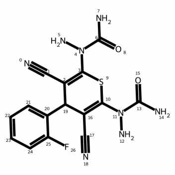 N#CC1=C(N(N)C(N)=O)SC(N(N)C(N)=O)=C(C#N)C1c1ccccc1F